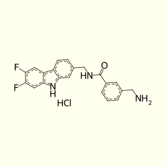 Cl.NCc1cccc(C(=O)NCc2ccc3c(c2)[nH]c2cc(F)c(F)cc23)c1